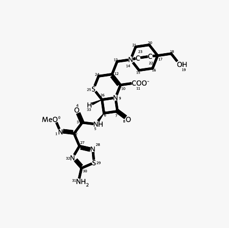 CO/N=C(\C(=O)N[C@@H]1C(=O)N2C(C(=O)[O-])=C(C[N+]34CCC(CO)(CC3)CC4)CS[C@@H]12)c1nsc(N)n1